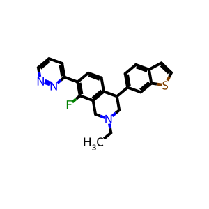 CCN1Cc2c(ccc(-c3cccnn3)c2F)C(c2ccc3ccsc3c2)C1